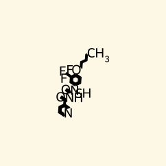 CCCCCOc1ccc(N(S)C(=O)NC(=O)c2cccnc2)cc1C(F)(F)F